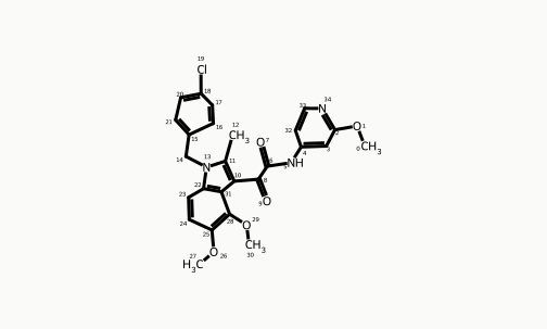 COc1cc(NC(=O)C(=O)c2c(C)n(Cc3ccc(Cl)cc3)c3ccc(OC)c(OC)c23)ccn1